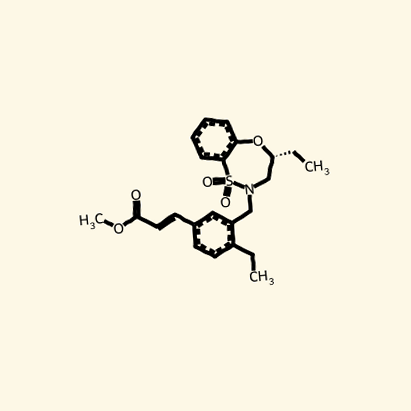 CCc1ccc(C=CC(=O)OC)cc1CN1C[C@@H](CC)Oc2ccccc2S1(=O)=O